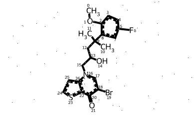 COc1ccc(F)cc1C(C)(C)CC(O)Cn1cc(Br)c(=O)c2sccc21